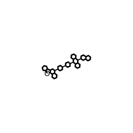 c1ccc2cc(-c3c4ccccc4c(-c4ccc(-c5ccc(-c6cc7c8ccccc8oc7c7ccccc67)cc5)cc4)c4ccccc34)ccc2c1